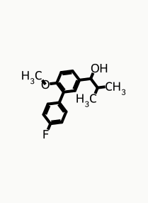 COc1ccc(C(O)C(C)C)cc1-c1ccc(F)cc1